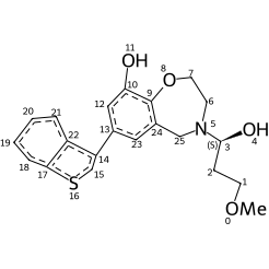 COCC[C@H](O)N1CCOc2c(O)cc(-c3csc4ccccc34)cc2C1